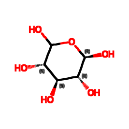 OC1O[C@@H](O)[C@H](O)[C@@H](O)[C@@H]1O